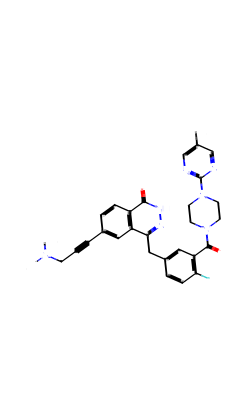 CN(C)CC#Cc1ccc2c(=O)[nH]nc(Cc3ccc(F)c(C(=O)N4CCN(c5ncc(C(F)(F)F)cn5)CC4)c3)c2c1